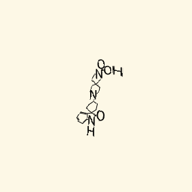 O=C(O)N1CCC2(CCN(C3CCC4(CC3)C(=O)Nc3ccccc34)CC2)C1